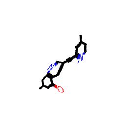 Cc1ccnc(C#Cc2cnc3c(c2)C(=O)CC(C)C3)c1